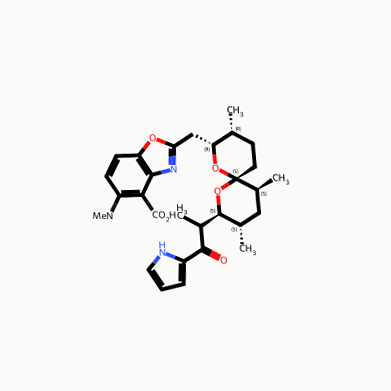 CNc1ccc2oc(C[C@H]3O[C@@]4(CC[C@H]3C)O[C@H](C(C)C(=O)c3ccc[nH]3)[C@@H](C)C[C@@H]4C)nc2c1C(=O)O